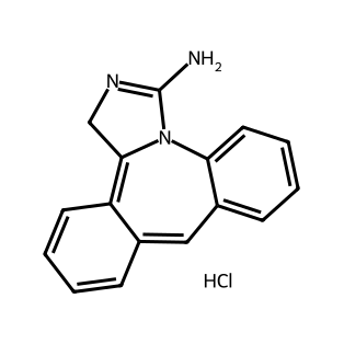 Cl.NC1=NCC2=c3ccccc3=Cc3ccccc3N12